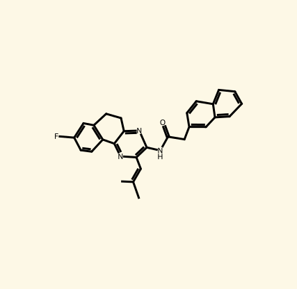 CC(C)=Cc1nc2c(nc1NC(=O)Cc1ccc3ccccc3c1)CCc1cc(F)ccc1-2